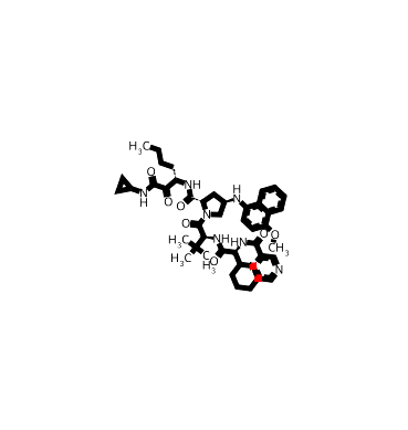 CCCC[C@H](NC(=O)[C@@H]1C[C@@H](Nc2ccc(OC)c3ccccc23)CN1C(=O)[C@@H](NC(=O)[C@@H](NC(=O)c1cnccn1)C1CCCCC1)C(C)(C)C)C(=O)C(=O)NC1CC1